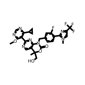 COc1ncnc(C2CC2)c1-c1ncc2c(n1)N(Cc1ccc(-c3nc(C(F)(F)F)cn3C)c(F)c1)C(=O)OC2(C)CO